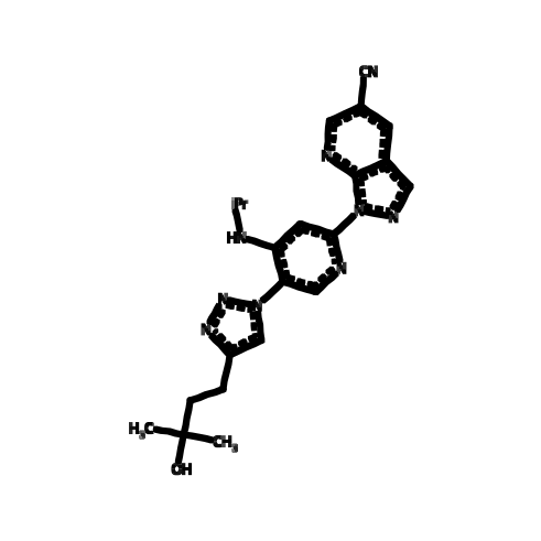 CC(C)Nc1cc(-n2ncc3cc(C#N)cnc32)ncc1-n1cc(CCC(C)(C)O)nn1